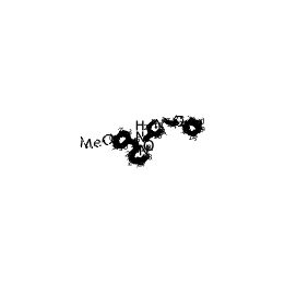 COc1ccc(C(NC(=O)C2CCN(CCOc3ccccc3)CC2)c2ccccn2)cc1